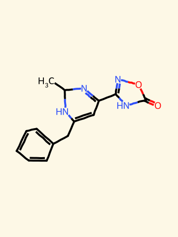 CC1N=C(c2noc(=O)[nH]2)C=C(Cc2ccccc2)N1